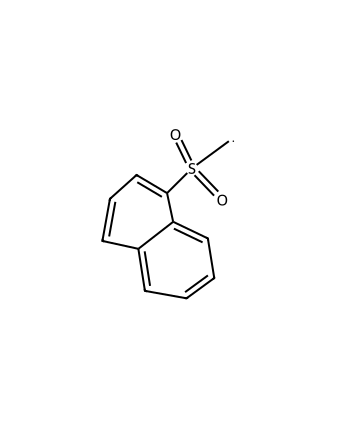 [CH2]S(=O)(=O)c1cccc2ccccc12